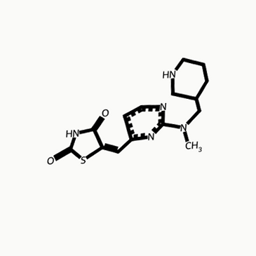 CN(CC1CCCNC1)c1nccc(/C=C2/SC(=O)NC2=O)n1